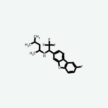 CC(C)CC(C)NC(c1ccc2c(c1)oc1ccc(F)cc12)C(F)(F)F